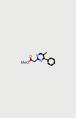 COC(=O)Cc1ncc(C)c(-c2ccccc2)n1